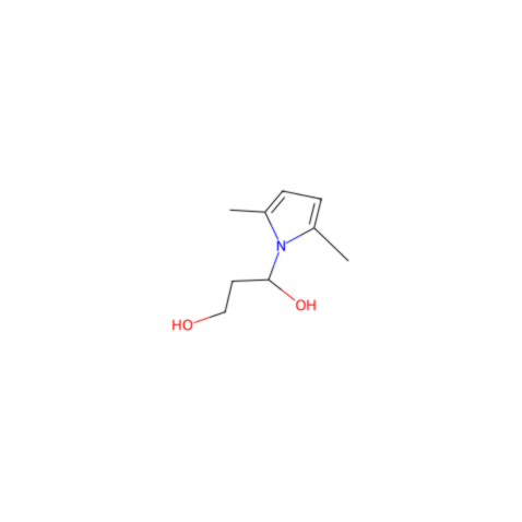 Cc1ccc(C)n1C(O)CCO